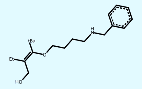 CC/C(CO)=C(/OCCCCNCc1ccccc1)C(C)(C)C